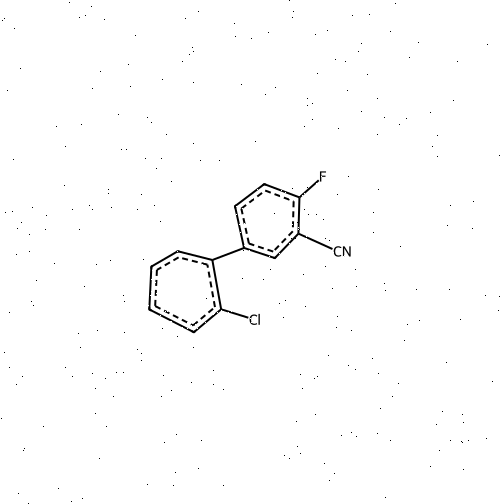 N#Cc1cc(-c2ccccc2Cl)ccc1F